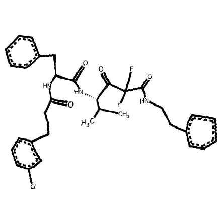 CC(C)[C@H](NC(=O)[C@H](Cc1ccccc1)NC(=O)CCc1cccc(Cl)c1)C(=O)C(F)(F)C(=O)NCCc1ccccc1